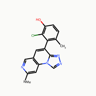 CNc1cc2c(cn1)cc(-c1c(C)ccc(O)c1Cl)c1nncn12